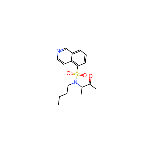 CCCCN(C(C)C(C)=O)S(=O)(=O)c1cccc2cnccc12